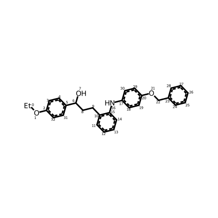 CCOc1ccc(C(O)CCc2ccccc2Nc2ccc(OCc3ccccc3)cc2)cc1